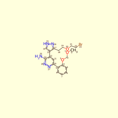 COCOc1ccccc1-c1cc(-c2c[nH]nc2CCOCCBr)c(N)nn1